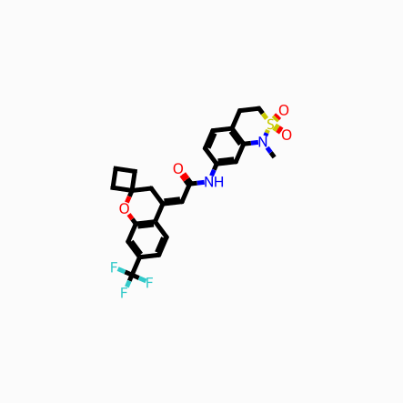 CN1c2cc(NC(=O)/C=C3\CC4(CCC4)Oc4cc(C(F)(F)F)ccc43)ccc2CCS1(=O)=O